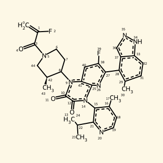 C=C(F)C(=O)N1CCC(n2c(=O)c(=O)n(-c3c(C)ccnc3C(C)C)c3nc(-c4c(C)ccc5[nH]ncc45)c(F)cc32)[C@@H](C)C1